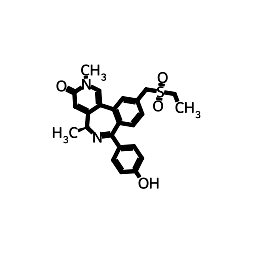 CCS(=O)(=O)Cc1ccc2c(c1)-c1cn(C)c(=O)cc1[C@H](C)N=C2c1ccc(O)cc1